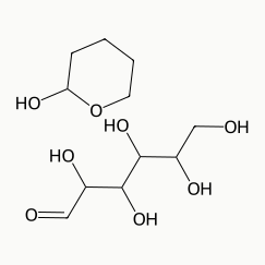 O=CC(O)C(O)C(O)C(O)CO.OC1CCCCO1